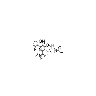 C=CC(=O)N1CCN2Cc3c(-c4c(C)cnn4C(C)C)nc(-c4c(O)cccc4F)c(Cl)c3OC[C@H]2C1